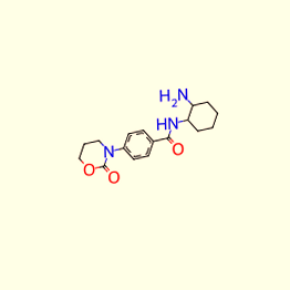 NC1CCCCC1NC(=O)c1ccc(N2CCCOC2=O)cc1